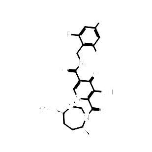 CO[C@@H]1CC[C@H](C)N2CN1n1cc(C(=O)NCc3c(F)cc(F)cc3F)c(=O)c(O)c1C2=O